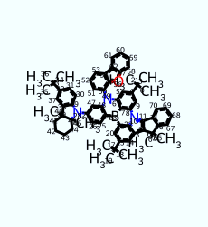 CC(C)(C)c1cc2c3c(c1)-n1c4c(c5cc(C(C)(C)C)cc(c51)B3c1ccc(N3c5ccc(C(C)(C)C)cc5C5(C)CCCCC35C)cc1N2c1cccc2c1oc1ccccc12)C(C)(C)c1ccccc1-4